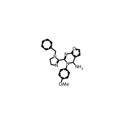 COc1ccc(N2C(C3=NCCN3Cc3ccccc3)=Nc3occc3C2N)cc1